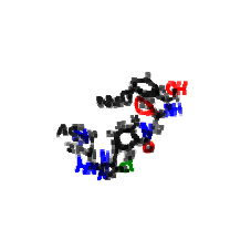 COc1cccc(C(CO)NC(=O)CN2Cc3ccc(-c4nc(NC5CN(C(C)=O)C5)ncc4Cl)cc3C2=O)c1